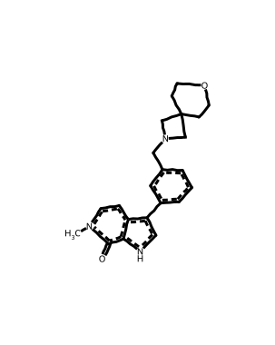 Cn1ccc2c(-c3cccc(CN4CC5(CCOCC5)C4)c3)c[nH]c2c1=O